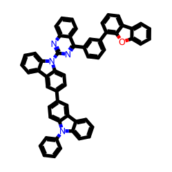 c1ccc(-n2c3ccccc3c3cc(-c4ccc5c(c4)c4ccccc4n5-c4nc(-c5cccc(-c6cccc7c6oc6ccccc67)c5)c5ccccc5n4)ccc32)cc1